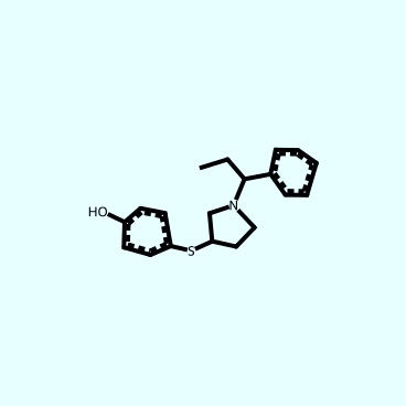 CCC(c1ccccc1)N1CCC(Sc2ccc(O)cc2)C1